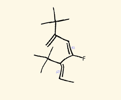 C=C(/C=C(F)\C(=C/C)C(C)(C)C)C(C)(C)C